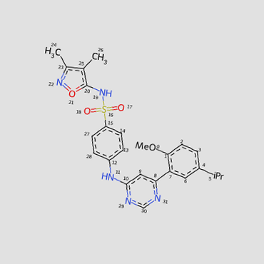 COc1ccc(C(C)C)cc1-c1cc(Nc2ccc(S(=O)(=O)Nc3onc(C)c3C)cc2)ncn1